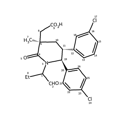 CCC(C=O)N1C(=O)[C@@](C)(CC(=O)O)C[C@H](c2cccc(Cl)c2)[C@H]1c1ccc(Cl)cc1